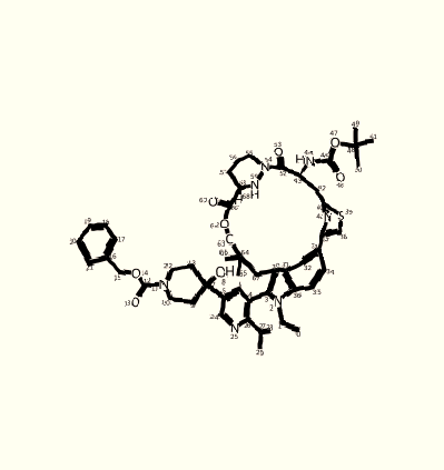 CCn1c(-c2cc(C3(O)CCN(C(=O)OCc4ccccc4)CC3)cnc2C(C)C)c2c3cc(ccc31)-c1csc(n1)C[C@H](NC(=O)OC(C)(C)C)C(=O)N1CCC[C@H](N1)C(=O)OCC(C)(C)C2